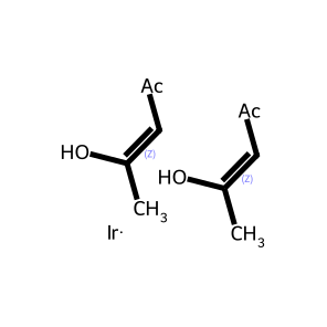 CC(=O)/C=C(/C)O.CC(=O)/C=C(/C)O.[Ir]